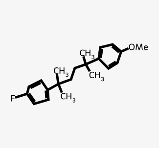 COc1ccc(C(C)(C)CCC(C)(C)c2ccc(F)cc2)cc1